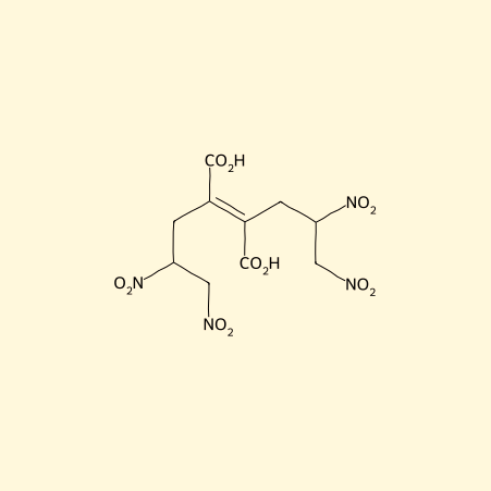 O=C(O)C(CC(C[N+](=O)[O-])[N+](=O)[O-])=C(CC(C[N+](=O)[O-])[N+](=O)[O-])C(=O)O